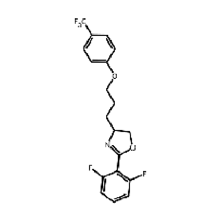 Fc1cccc(F)c1C1=NC(CCCOc2ccc(C(F)(F)F)cc2)CO1